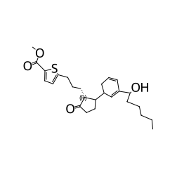 CCCCCC(O)C1=CC(C2CCC(=O)[C@@H]2CCCc2ccc(C(=O)OC)s2)CC=C1